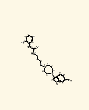 O=C(NCCCCN1CCCN(c2csc3cc(F)ccc23)CC1)Nc1ccccc1F